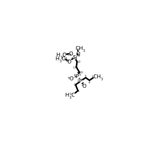 CCCP(=O)(CCC)/[P+]([O-])=C/CC[Si](OC)(OC)OC